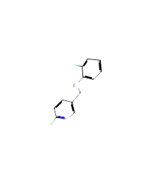 Fc1ccccc1NCc1ccc(Cl)nc1